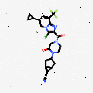 N#CC1C2CC(N3CCN(C(=O)c4nc5c(C(F)(F)F)cc(C6CC6)cn5c4Cl)CC3=O)CC12